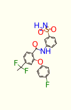 CC(F)(F)c1ccc(C(=O)Nc2cccc(S(N)(=O)=O)c2)c(Oc2ccc(F)cc2)c1